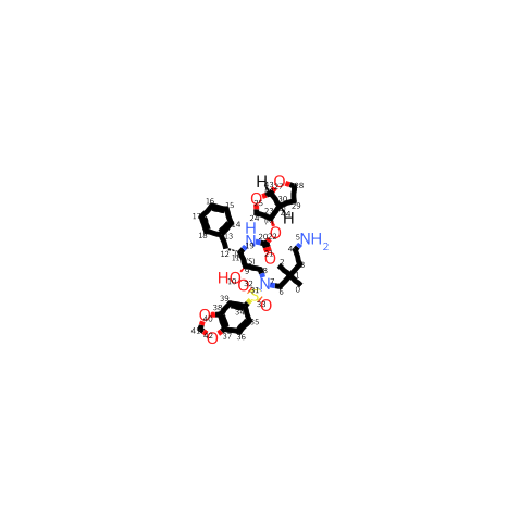 CC(C)(CCN)CN(C[C@H](O)[C@H](Cc1ccccc1)NC(=O)O[C@H]1CO[C@H]2OCC[C@H]21)S(=O)(=O)c1ccc2c(c1)OCO2